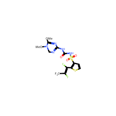 COC1=NC(NC(=O)NS(=O)(=O)c2ccsc2C(F)=C(F)C(F)(F)F)=NCN1OC